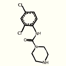 O=C(Nc1ccc(Cl)cc1Cl)N1CCNCC1